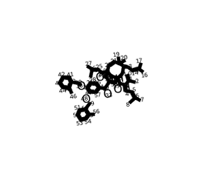 C=C(C)C(CC=C(C)C)CC12CC(CC=C(C)C)C(C)(C)C=CC(CC=C(C)C)(C(=O)C(C(=O)c3ccc(OCc4ccccc4C)c(OCc4ccccc4C)c3)=C1O)C2O